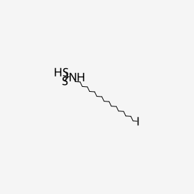 S=C(S)NCCCCCCCCCCCCCCCCCI